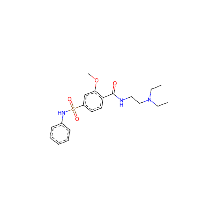 CCN(CC)CCNC(=O)c1ccc(S(=O)(=O)Nc2ccccc2)cc1OC